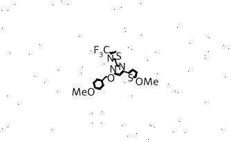 COc1ccc(COc2cc(-c3ccc(OC)s3)nc(-c3nc(C(F)(F)F)cs3)n2)cc1